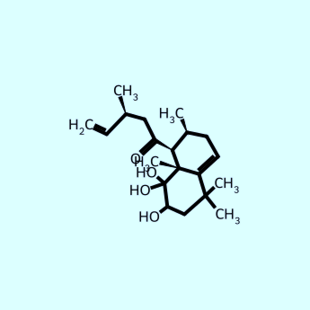 C=C[C@@H](C)CC(=O)[C@H]1[C@@H](C)CC=C2C(C)(C)CC(O)C(O)(O)[C@@]21C